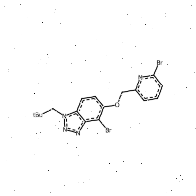 CC(C)(C)Cn1nnc2c(Br)c(OCc3cccc(Br)n3)ccc21